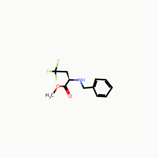 COC(=O)[C@@H](CC(F)(F)F)NCc1ccccc1